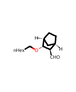 CCCCCCCO[C@@H]1[C@H]2CC[C@H](C2)[C@H]1C=O